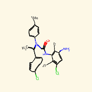 CCc1c(N)cc(Cl)c(CC)c1NC(=O)N(c1ccc(SC)cc1)C(C)c1ccc(Cl)cc1